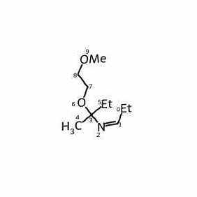 CC/C=N\C(C)(CC)OCCOC